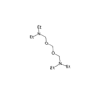 CCN(CC)COCOCN(CC)CC